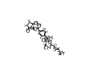 C#CP(=O)(Nc1ccc(C(=O)ON2C(=O)CCC2=O)cc1)OCCSSC(C)C